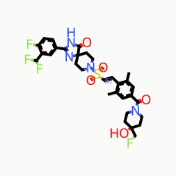 Cc1cc(C(=O)N2CCC(O)(CF)CC2)cc(C)c1/C=C/S(=O)(=O)N1CCC2(CC1)N=C(c1ccc(F)c(C(F)F)c1)NC2=O